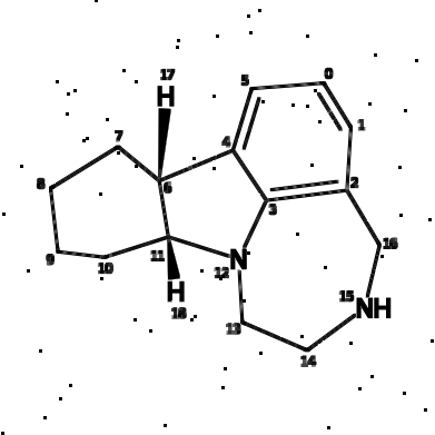 c1cc2c3c(c1)[C@H]1CCCC[C@H]1N3CCNC2